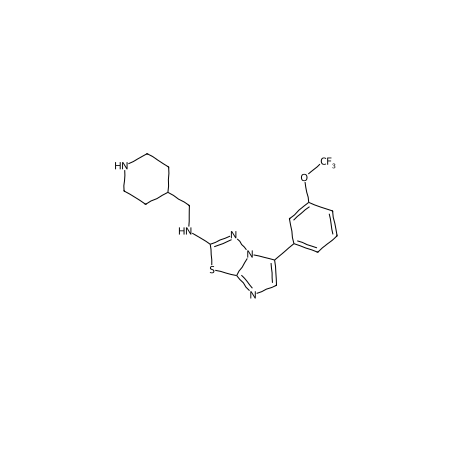 FC(F)(F)Oc1cccc(-c2cnc3sc(NCC4CCNCC4)nn23)c1